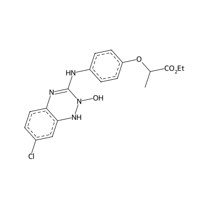 CCOC(=O)C(C)Oc1ccc(NC2=Nc3ccc(Cl)cc3NN2O)cc1